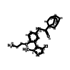 Cn1ncc(Cl)c1-c1cc(NC(=O)C23CC4CC(C2)C(C4)C3)ccc1OCCN